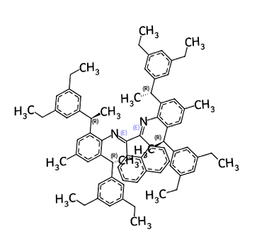 CCc1cc(CC)cc([C@@H](C)c2cc(C)cc([C@H](C)c3cc(CC)cc(CC)c3)c2/N=C2/C(=N/c3c([C@H](C)c4cc(CC)cc(CC)c4)cc(C)cc3[C@H](C)c3cc(CC)cc(CC)c3)c3cccc4cccc2c34)c1